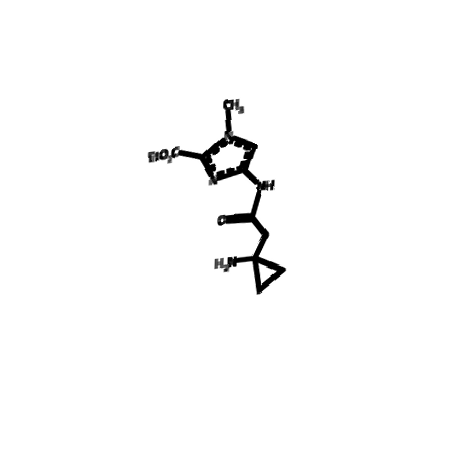 CCOC(=O)c1nc(NC(=O)CC2(N)CC2)cn1C